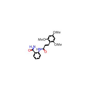 COc1cc(OC)c(/C=C/C(=O)Nc2ccccc2C(N)=O)c(OC)c1